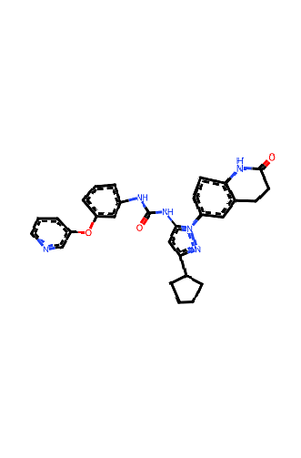 O=C1CCc2cc(-n3nc(C4CCCC4)cc3NC(=O)Nc3cccc(Oc4cccnc4)c3)ccc2N1